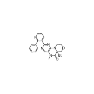 CCC12COCCN1c1nc(-c3cccnc3-c3ccccc3)ncc1N(C)C2=O